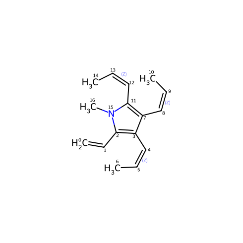 C=Cc1c(/C=C\C)c(/C=C\C)c(/C=C\C)n1C